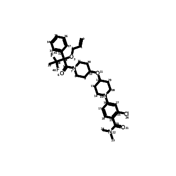 C=CCOC(C(=O)N1CCC(OC2CCN(c3ccc(C(=O)N(C)C)c(Cl)c3)CC2)CC1)(c1ccccc1)C(C)(F)F